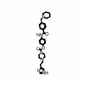 O=C(Nc1ccc(OC(=O)N2CCN(CCc3c[nH]cn3)CC2)cc1)c1ccc(CN2CCCCC2)cc1